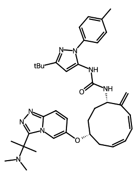 C=C1/C=C\C=C/C[C@H](Oc2ccc3nnc(C(C)(C)N(C)C)n3c2)CC[C@@H]1NC(=O)Nc1cc(C(C)(C)C)nn1-c1ccc(C)cc1